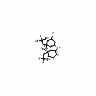 [O-][S+](C1(CC(F)(F)F)CCCC(F)C1)C1(CC(F)(F)F)CCCC(F)C1